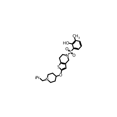 Cc1cccc(S(=O)(=O)N2CCc3sc(OC4CCN(CC(C)C)CC4)cc3C2)c1O